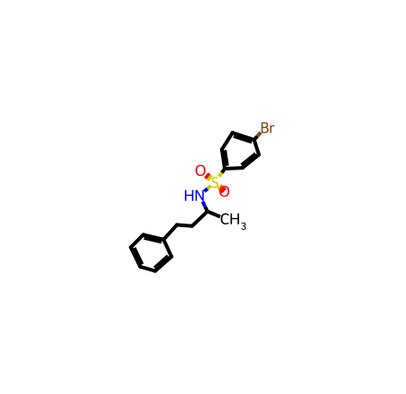 CC(CCc1ccccc1)NS(=O)(=O)c1ccc(Br)cc1